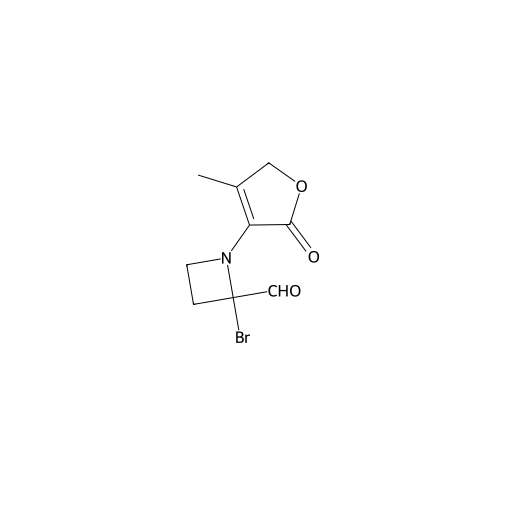 CC1=C(N2CCC2(Br)C=O)C(=O)OC1